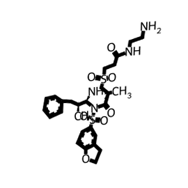 CC(CS(=O)(=O)CCC(=O)NCCN)C(=O)N([C@H](N)[C@@H](C)Cc1ccccc1)S(=O)(=O)c1ccc2c(c1)CCO2